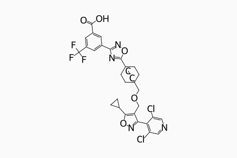 O=C(O)c1cc(-c2noc(C34CCC(COCc5c(-c6c(Cl)cncc6Cl)noc5C5CC5)(CC3)CC4)n2)cc(C(F)(F)F)c1